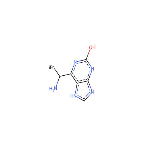 CC(C)C(N)c1nc(O)nc2nc[nH]c12